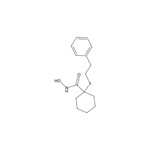 O=C(NO)C1(SCCc2ccccc2)CCCCC1